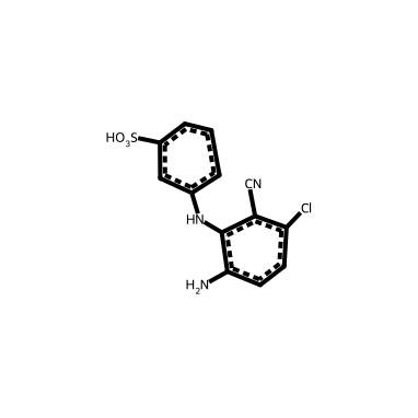 N#Cc1c(Cl)ccc(N)c1Nc1cccc(S(=O)(=O)O)c1